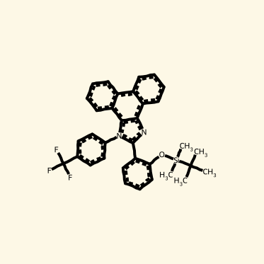 CC(C)(C)[Si](C)(C)Oc1ccccc1-c1nc2c3ccccc3c3ccccc3c2n1-c1ccc(C(F)(F)F)cc1